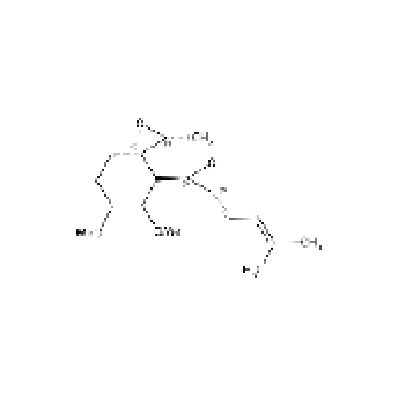 COC1CC[C@@]2(O[C@@H]2C)C([C@H]2O[C@@H]2CC=C(C)C)C1OC